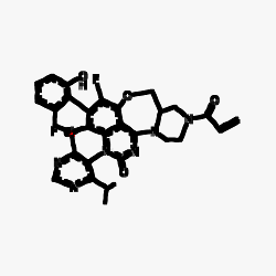 C=CC(=O)N1CCN2c3nc(=O)n(-c4c(C(C)C)ncnc4C(C)C)c4c(Cl)c(-c5c(O)cccc5F)c(F)c(c34)OCC2C1